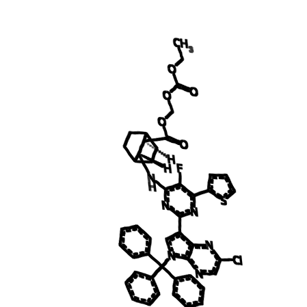 CCOC(=O)OCOC(=O)[C@@H]1C2CCC(CC2)[C@H]1Nc1nc(-c2cn(C(c3ccccc3)(c3ccccc3)c3ccccc3)c3ncc(Cl)nc23)nc(-c2cccs2)c1F